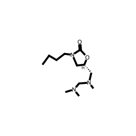 CCCCN1C[C@@H](CN(C)CN(C)C)OC1=O